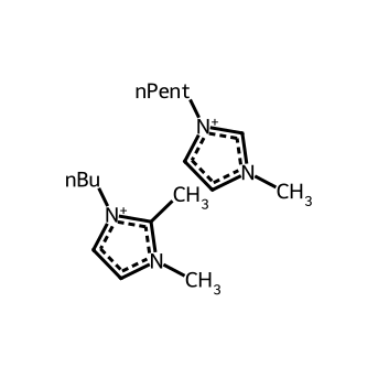 CCCCC[n+]1ccn(C)c1.CCCC[n+]1ccn(C)c1C